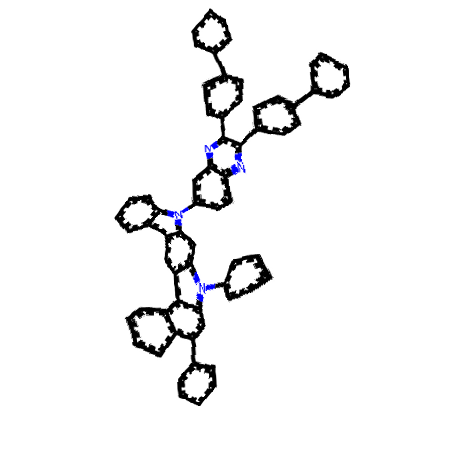 c1ccc(-c2ccc(-c3nc4ccc(-n5c6ccccc6c6cc7c8c9ccccc9c(-c9ccccc9)cc8n(-c8ccccc8)c7cc65)cc4nc3-c3ccc(-c4ccccc4)cc3)cc2)cc1